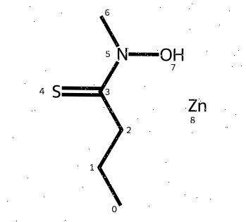 CCCC(=S)N(C)O.[Zn]